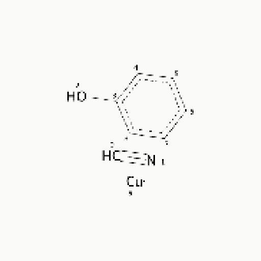 C#N.Oc1ccccc1.[Cu]